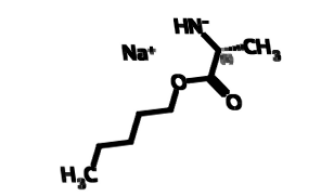 CCCCCOC(=O)[C@@H](C)[NH-].[Na+]